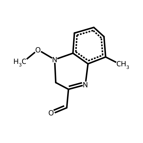 CON1CC(C=O)=Nc2c(C)cccc21